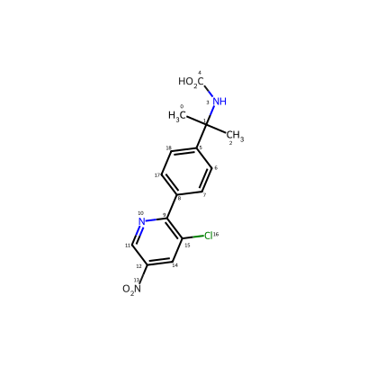 CC(C)(NC(=O)O)c1ccc(-c2ncc([N+](=O)[O-])cc2Cl)cc1